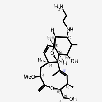 C=C1O[C@H]([C@@H](C)O)[C@H](C)/C=C(\C)[C@]23O[C@@H]4[C@H](C=C[C@@H]2C[C@@H]1OC)[C@H]3[C@H](O)C(C)[C@@H]4NCCN